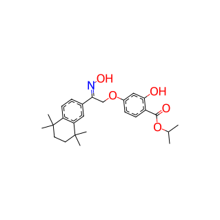 CC(C)OC(=O)c1ccc(OCC(=NO)c2ccc3c(c2)C(C)(C)CCC3(C)C)cc1O